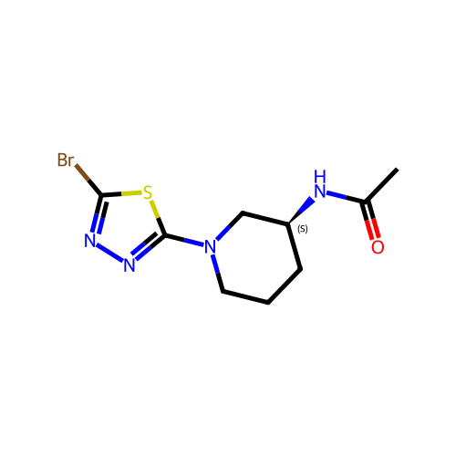 CC(=O)N[C@H]1CCCN(c2nnc(Br)s2)C1